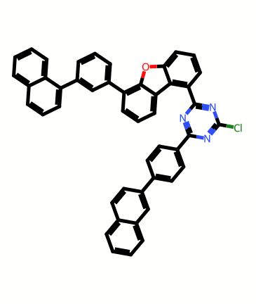 Clc1nc(-c2ccc(-c3ccc4ccccc4c3)cc2)nc(-c2cccc3oc4c(-c5cccc(-c6cccc7ccccc67)c5)cccc4c23)n1